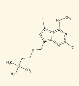 CNc1nc(Cl)nc2c1c(F)cn2COCC[Si](C)(C)C